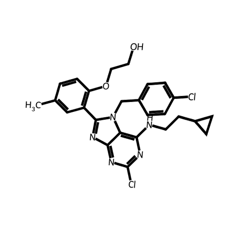 Cc1ccc(OCCO)c(-c2nc3nc(Cl)nc(NCCC4CC4)c3n2Cc2ccc(Cl)cc2)c1